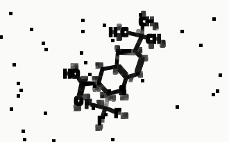 CC(C)(C)c1ccc2c(c1)C[C@H](C(=O)O)[C@@H](C(F)(F)F)S2